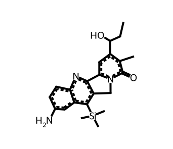 CCC(O)c1cc2n(c(=O)c1C)Cc1c-2nc2ccc(N)cc2c1[Si](C)(C)C